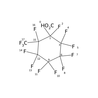 O=C(O)C1(F)C(F)(F)C(F)(F)C(F)(F)C(F)(F)C1(F)C(F)(F)F